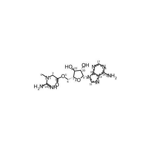 CN(CC(=O)OC[C@H]1O[C@@H](n2cnc3c(N)ncnc32)[C@@H](O)C1O)C(=N)N